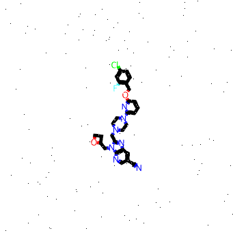 N#Cc1cnc2c(c1)nc(CN1CCN(c3cccc(OCc4ccc(Cl)cc4F)n3)CC1)n2CC1CCO1